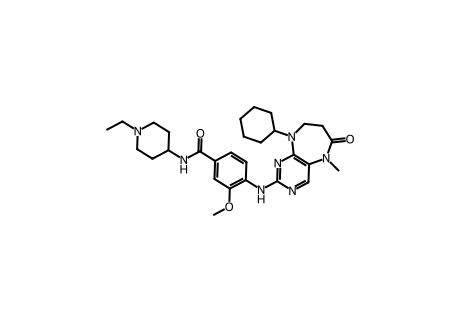 CCN1CCC(NC(=O)c2ccc(Nc3ncc4c(n3)N(C3CCCCC3)CCC(=O)N4C)c(OC)c2)CC1